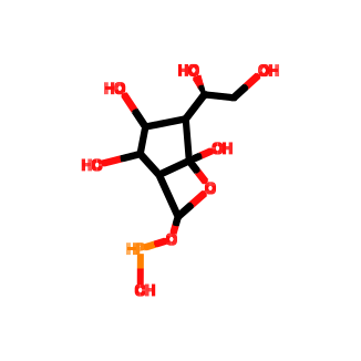 OC[C@H](O)C1C(O)C(O)C2C(OPO)OC21O